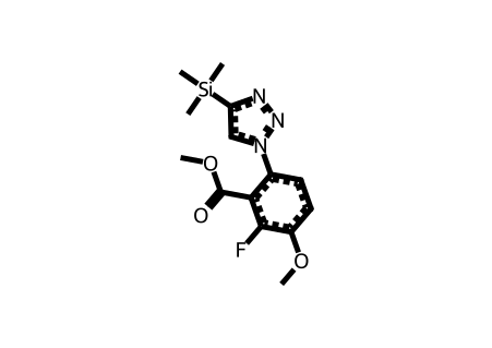 COC(=O)c1c(-n2cc([Si](C)(C)C)nn2)ccc(OC)c1F